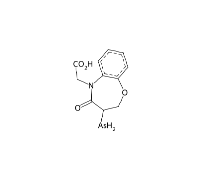 O=C(O)CN1C(=O)C([AsH2])COc2ccccc21